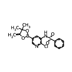 C=C1OB(c2cnc(Cl)c(NS(=O)(=O)c3ccccc3)c2)OC1(C)C